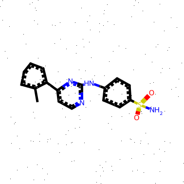 Cc1ccccc1-c1ccnc(Nc2ccc(S(N)(=O)=O)cc2)n1